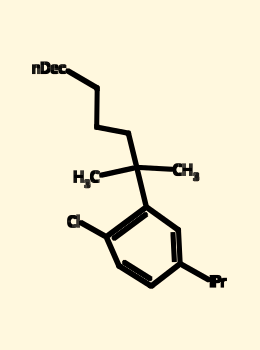 CCCCCCCCCCCCCC(C)(C)c1cc(C(C)C)ccc1Cl